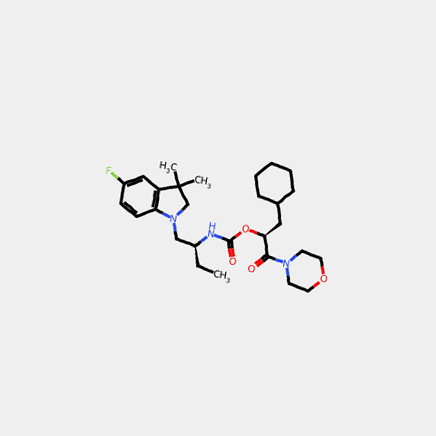 CC[C@@H](CN1CC(C)(C)c2cc(F)ccc21)NC(=O)O[C@@H](CC1CCCCC1)C(=O)N1CCOCC1